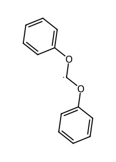 [CH](Oc1ccccc1)Oc1ccccc1